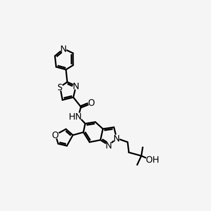 CC(C)(O)CCn1cc2cc(NC(=O)c3csc(-c4ccncc4)n3)c(-c3ccoc3)cc2n1